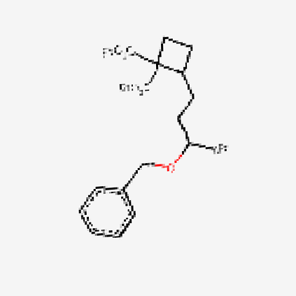 CCCC(CCC1CCC1(C(=O)OCC)C(=O)OCC)OCc1ccccc1